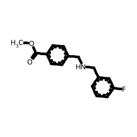 COC(=O)c1ccc(CNCc2cccc(F)c2)cc1